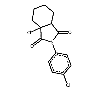 O=C1C2CCCCC2(Cl)C(=O)N1c1ccc(Cl)cc1